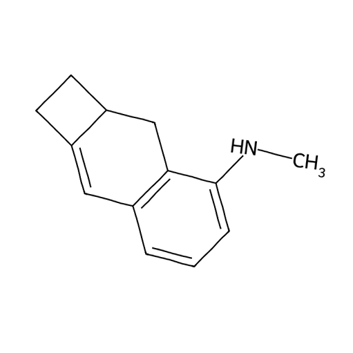 CNc1cccc2c1CC1CCC1=C2